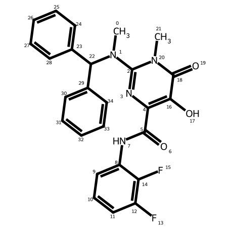 CN(c1nc(C(=O)Nc2cccc(F)c2F)c(O)c(=O)n1C)C(c1ccccc1)c1ccccc1